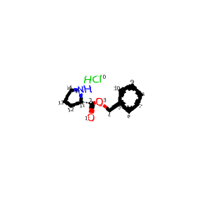 Cl.O=C(OCc1ccccc1)[C@@H]1CCCN1